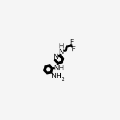 Nc1ccccc1Nc1ccc(NCCC(F)F)nc1